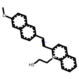 COc1ccc2cc(/C=C/c3ccc4ccccc4[n+]3CCS)ccc2c1